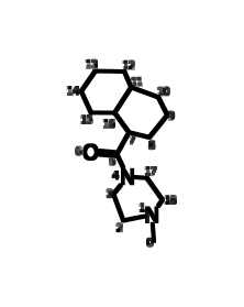 CN1CCN(C(=O)C2CCCC3CCCCC32)CC1